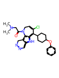 CN(C)CC(=O)N1CC=C(Cl)C(C2CCC(Oc3ccccc3)CC2)=c2[nH]c3c(c21)CN=NC=3